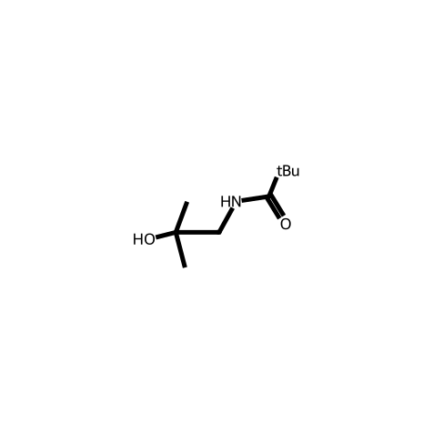 CC(C)(O)CNC(=O)C(C)(C)C